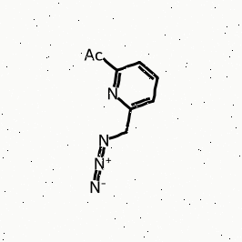 CC(=O)c1cccc(CN=[N+]=[N-])n1